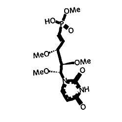 CO[C@@H]([C@@H](OC)n1ccc(=O)[nH]c1=O)[C@@H](/C=C/P(=O)(O)OC)OC